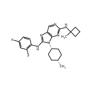 CC1(Nc2ncc3nc(Nc4ccc(F)cc4F)n([C@H]4CC[C@@H](C)CC4)c3n2)CCC1